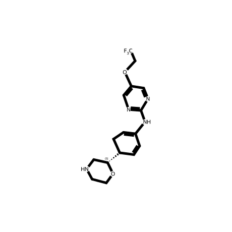 FC(F)(F)COc1cnc(NC2=CCC([C@H]3CNCCO3)C=C2)nc1